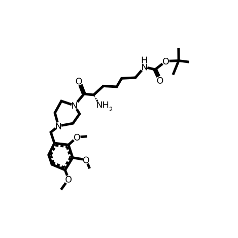 COc1ccc(CN2CCN(C(=O)[C@@H](N)CCCCNC(=O)OC(C)(C)C)CC2)c(OC)c1OC